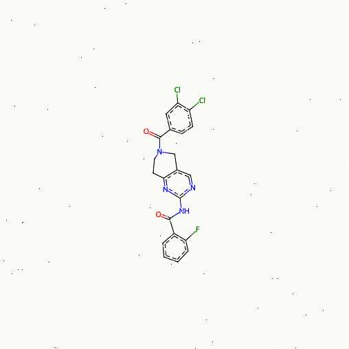 O=C(Nc1ncc2c(n1)CCN(C(=O)c1ccc(Cl)c(Cl)c1)C2)c1ccccc1F